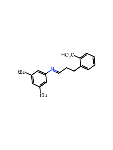 CC(C)(C)c1cc(N=CCCc2ccccc2C(=O)O)cc(C(C)(C)C)c1